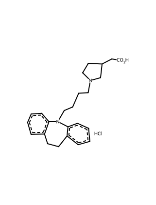 Cl.O=C(O)CC1CCN(CCCCN2c3ccccc3CCc3ccccc32)C1